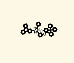 c1ccc(-c2nc(-c3ccc4c5ccccc5c5ccccc5c4c3)nc(-c3cccc4c3Oc3ccc5c(c3O4)-c3ccccc3C5(c3ccccc3)c3ccccc3)n2)cc1